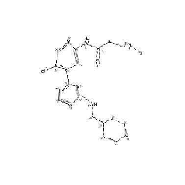 CNCCC(=O)Nc1cc(-c2cccc(NCC3CCOCC3)n2)c(Cl)cn1